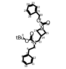 CC(C)(C)OC(=O)N(CCc1ccccc1)CC1CN(C(=O)OCc2ccccc2)C1